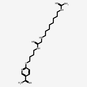 N=C(N)NCCCCCCCCNCC(=N)NCCCCOc1ccc(C(=N)N)cn1